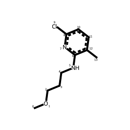 COCCCNc1nc(Cl)ccc1C